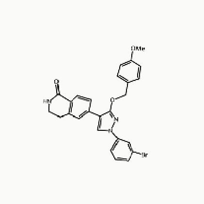 COc1ccc(COc2nn(-c3cccc(Br)c3)cc2-c2ccc3c(c2)CCNC3=O)cc1